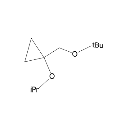 CC(C)OC1(COC(C)(C)C)CC1